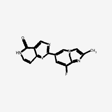 Cc1cn2cc(-c3ncc4c(=O)[nH]ccc4n3)cc(F)c2n1